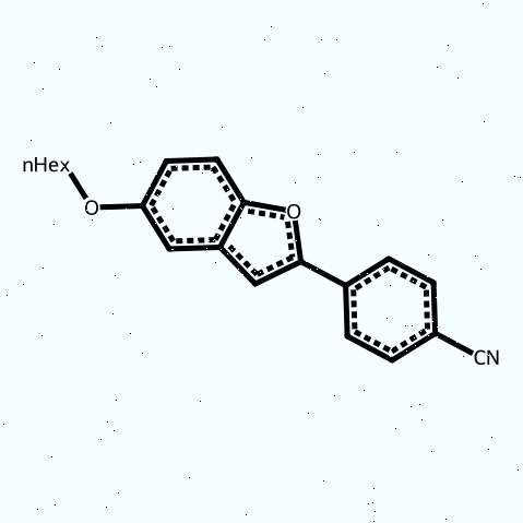 CCCCCCOc1ccc2oc(-c3ccc(C#N)cc3)cc2c1